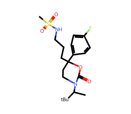 CC(N1CCC(CCCNS(C)(=O)=O)(c2ccc(F)cc2)OC1=O)C(C)(C)C